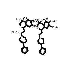 COc1cc2c(cc1OC)C(C)(C)COC2CCN1CC=C(c2ccccc2)CC1.COc1cc2c(cc1OC)C(C)(C)COC2CCN1CC=C(c2ccccc2)CC1.Cl.Cl.O